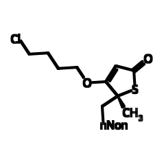 CCCCCCCCCC[C@@]1(C)SC(=O)C=C1OCCCCCl